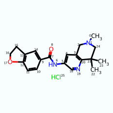 CN1Cc2cc(NC(=O)c3ccc4c(c3)CCO4)cnc2C(C)(C)C1.Cl